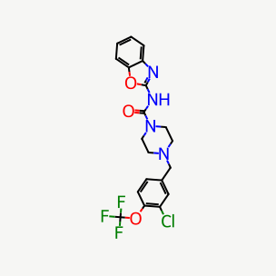 O=C(Nc1nc2ccccc2o1)N1CCN(Cc2ccc(OC(F)(F)F)c(Cl)c2)CC1